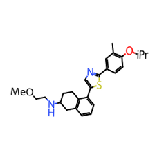 COCCNC1CCc2c(cccc2-c2cnc(-c3ccc(OC(C)C)c(C)c3)s2)C1